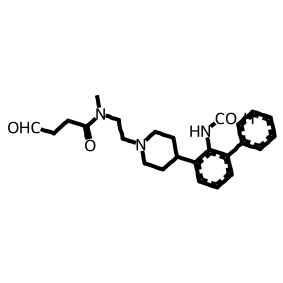 CN(CCN1CCC(c2cccc(-c3ccccc3)c2NC(=O)O)CC1)C(=O)CCC=O